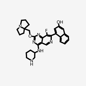 Oc1cc(-c2ncc3c(NC4CCCNC4)nc(OCC45CCCN4CCC5)nc3c2F)c2ccccc2c1